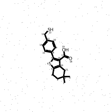 CC1(C)CCc2sc(-c3ccc(CS)cc3)c(C(=O)O)c2C1